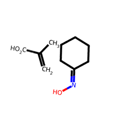 C=C(C)C(=O)O.ON=C1CCCCC1